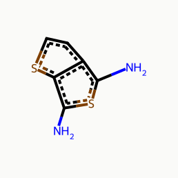 Nc1sc(N)c2sccc12